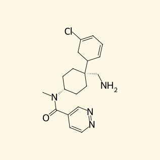 CN(C(=O)c1ccnnc1)[C@H]1CC[C@](CN)(C2C=CC=C(Cl)C2)CC1